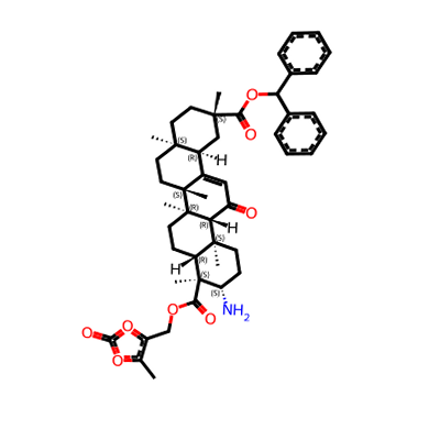 Cc1oc(=O)oc1COC(=O)[C@@]1(C)[C@@H]2CC[C@]3(C)[C@H](C(=O)C=C4[C@@H]5C[C@@](C)(C(=O)OC(c6ccccc6)c6ccccc6)CC[C@]5(C)CC[C@]43C)[C@@]2(C)CC[C@@H]1N